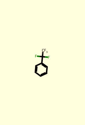 FC(F)(F)C(F)(F)c1c[c]ccc1